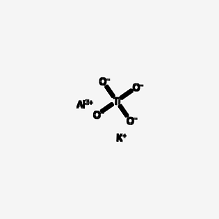 [Al+3].[K+].[O-][Ti]([O-])([O-])[O-]